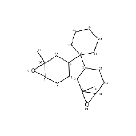 CC12CC(C3(C4CCC5OC5(C)C4)CCCCC3)CCC1O2